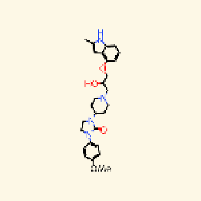 COc1ccc(N2CCN(C3CCN(CC(O)COc4cccc5[nH]c(C)cc45)CC3)C2=O)cc1